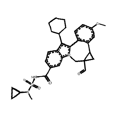 COc1ccc2c(c1)C1CC1(C=O)Cn1c-2c(C2CCCCC2)c2ccc(C(=O)NS(=O)(=O)N(C)C3CC3)cc21